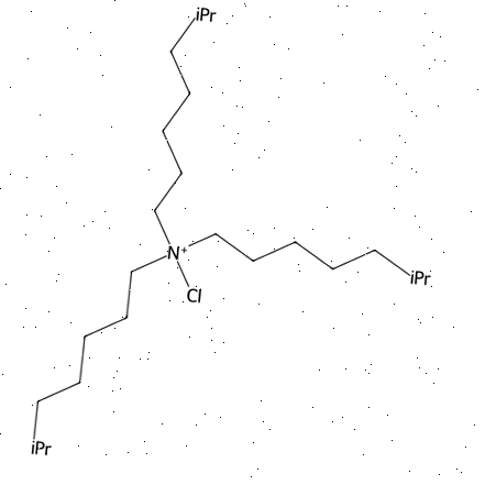 CC(C)CCCCC[N+](Cl)(CCCCCC(C)C)CCCCCC(C)C